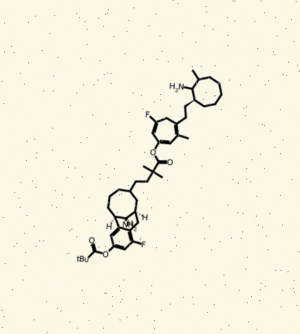 CC1=C(CC[C@@H]2CCCCCC(C)C2N)CC(F)=CC(OC(=O)C(C)(C)CCC2CCC[C@@H]3c4cc(OC(=O)C(C)(C)C)cc(F)c4C[C@H](C2)[C@@H]3N)=C1